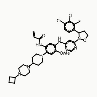 C=CC(=O)Nc1cc(Nc2cc(N3OCCC3c3ccc(Cl)c(Cl)c3F)ncn2)c(OC)cc1N1CCC(N2CCN(C3CCC3)CC2)CC1